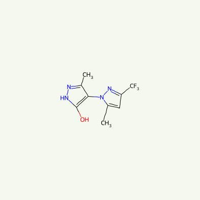 Cc1n[nH]c(O)c1-n1nc(C(F)(F)F)cc1C